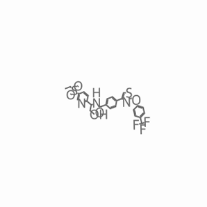 CCS(=O)(=O)c1ccc(C(CO)NC(=O)c2ccc(-c3csc(Oc4ccc(C(F)(F)F)cc4)n3)cc2)nc1